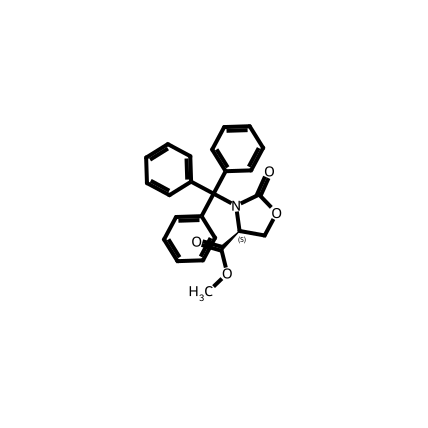 COC(=O)[C@@H]1COC(=O)N1C(c1ccccc1)(c1ccccc1)c1ccccc1